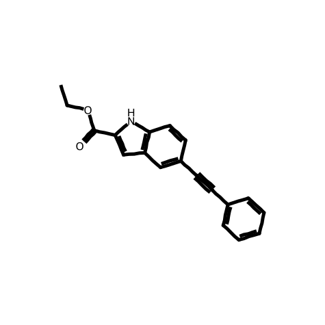 CCOC(=O)c1cc2cc(C#Cc3ccccc3)ccc2[nH]1